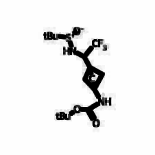 CC(C)(C)OC(=O)NC12CC(C(N[S+]([O-])C(C)(C)C)C(F)(F)F)(C1)C2